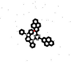 C1=C2c3ccccc3N(c3nc(-c4cc5ccc6cccc7ccc(c4)c5c67)nc(-c4cc5ccc6cccc7ccc(c4)c5c67)n3)C2C2C(=C1)N(c1ccccc1)c1ccccc12